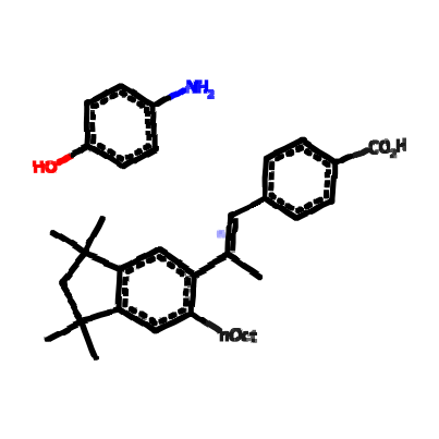 CCCCCCCCc1cc2c(cc1/C(C)=C/c1ccc(C(=O)O)cc1)C(C)(C)CC2(C)C.Nc1ccc(O)cc1